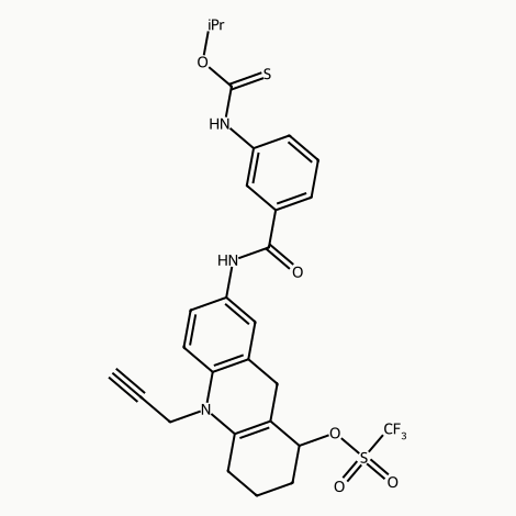 C#CCN1C2=C(Cc3cc(NC(=O)c4cccc(NC(=S)OC(C)C)c4)ccc31)C(OS(=O)(=O)C(F)(F)F)CCC2